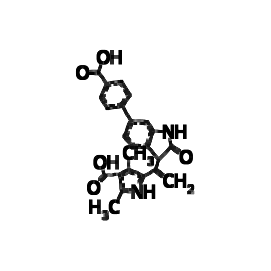 C=C(c1[nH]c(C)c(C(=O)O)c1C)C1C(=O)Nc2cc(-c3ccc(C(=O)O)cc3)ccc21